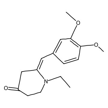 CCN1CCC(=O)CC1=Cc1ccc(OC)c(OC)c1